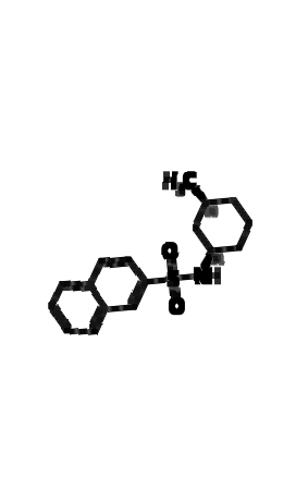 C[C@H]1CCC[C@@H](NS(=O)(=O)c2ccc3ccccc3c2)C1